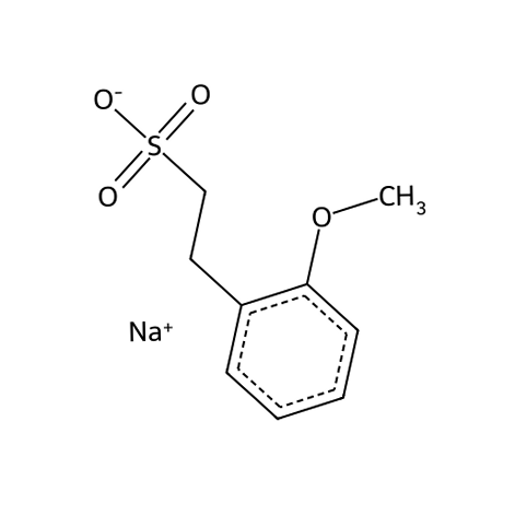 COc1ccccc1CCS(=O)(=O)[O-].[Na+]